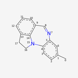 Cc1ccc2c(c1)N=Cc1cccc3c1N2CC3